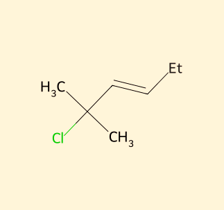 CC/C=C/C(C)(C)Cl